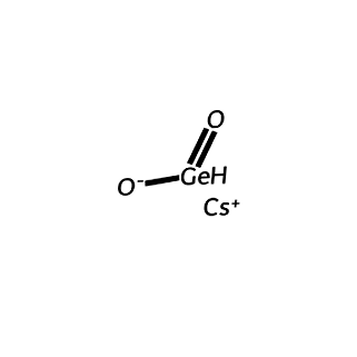 [Cs+].[O]=[GeH][O-]